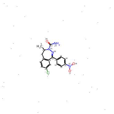 CC1Cc2ccc(Cl)cc2C(c2ccc([N+](=O)[O-])cc2)=NN1C(N)=O